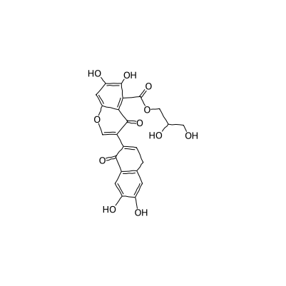 O=C1C(c2coc3cc(O)c(O)c(C(=O)OCC(O)CO)c3c2=O)=CCc2cc(O)c(O)cc21